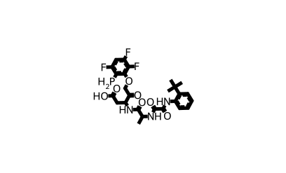 CC(NC(=O)C(=O)Nc1ccccc1C(C)(C)C)C(=O)NC(CC(=O)O)C(=O)COc1c(F)c(F)cc(F)c1P